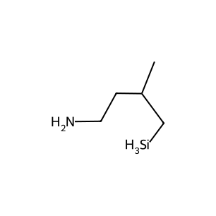 CC(C[SiH3])CCN